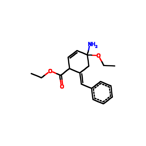 CCOC(=O)C1C=CC(N)(OCC)CC1=Cc1ccccc1